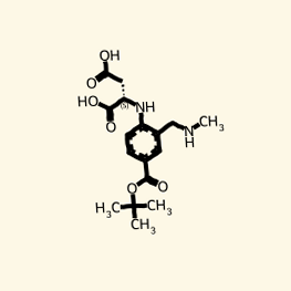 CNCc1cc(C(=O)OC(C)(C)C)ccc1N[C@@H](CC(=O)O)C(=O)O